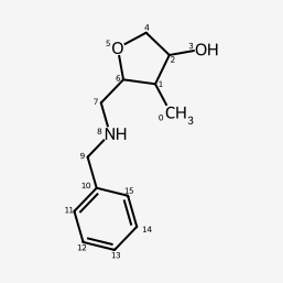 CC1C(O)COC1CNCc1ccccc1